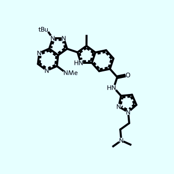 CNc1ncnc2c1c(-c1[nH]c3cc(C(=O)Nc4ccn(CCN(C)C)n4)ccc3c1C)nn2C(C)(C)C